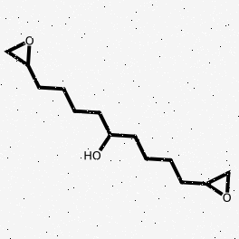 OC(CCCCC1CO1)CCCCC1CO1